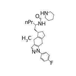 CCCC(C[C@H]1CCC2=C1[C@@H](C)c1cnn(-c3ccc(F)cc3)c1C2)NC(=O)[C@H]1CCCCN1